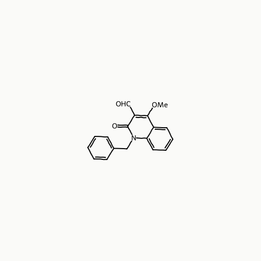 COc1c(C=O)c(=O)n(Cc2ccccc2)c2ccccc12